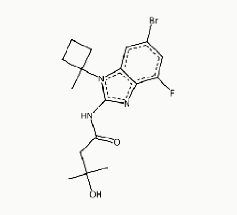 CC(C)(O)CC(=O)Nc1nc2c(F)cc(Br)cc2n1C1(C)CCC1